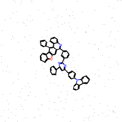 c1ccc(-c2cc(-c3ccc(-n4c5ccccc5c5ccccc54)cc3)nc(-c3cccc(-c4nc5ccccc5c5c(-c6ccccc6)c6c(cc45)oc4ccccc46)c3)n2)cc1